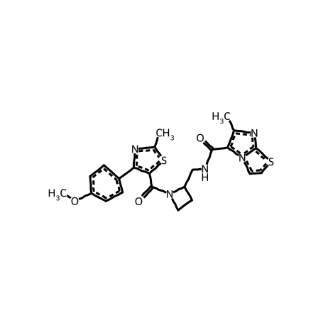 COc1ccc(-c2nc(C)sc2C(=O)N2CCC2CNC(=O)c2c(C)nc3sccn23)cc1